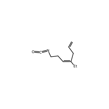 C=CCC(=CCCN=C=O)CC